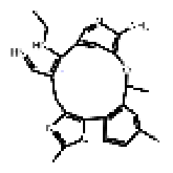 CCN/C1=C(\C=N)Cc2nc(C)oc2-c2ccc(F)cc2C(C)Oc2cc1cnc2N